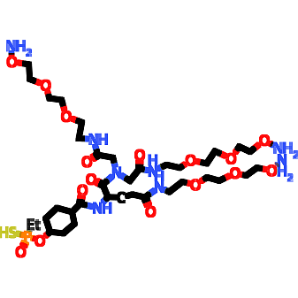 CCP(=O)(S)OC1CCC(C(=O)NC(CCC(=O)NCCOCCOCCON)C(=O)N(CC(=O)NCCOCCOCCON)CC(=O)NCCOCCOCCON)CC1